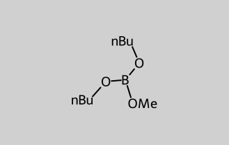 CCCCOB(OC)OCCCC